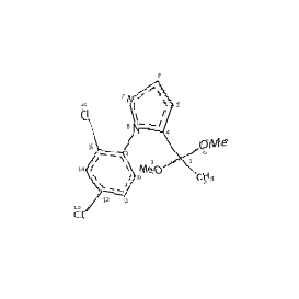 COC(C)(OC)c1[c]cnn1-c1ccc(Cl)cc1Cl